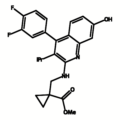 COC(=O)C1(CNc2nc3cc(O)ccc3c(-c3ccc(F)c(F)c3)c2C(C)C)CC1